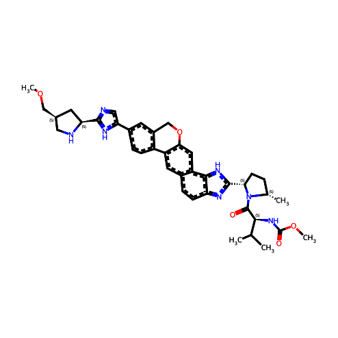 COC[C@@H]1CN[C@H](c2ncc(-c3ccc4c(c3)COc3cc5c(ccc6nc([C@@H]7CC[C@H](C)N7C(=O)[C@@H](NC(=O)OC)C(C)C)[nH]c65)cc3-4)[nH]2)C1